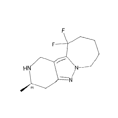 C[C@@H]1Cc2nn3c(c2CN1)C(F)(F)CCCC3